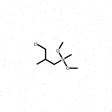 CO[Si](C)(CC(C)CCl)OC